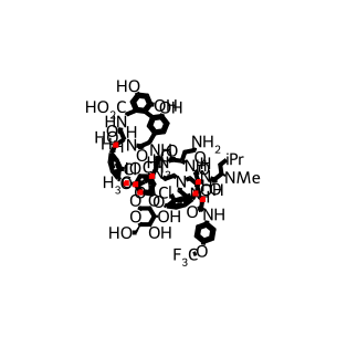 CN[C@H](CC(C)C)C(=O)N[C@H]1C(=O)NC(CC(N)=O)C(=O)NC2C(=O)NC3C(=O)N[C@H](C(=O)N[C@@H](C(=O)O)c4cc(O)cc(O)c4-c4cc3ccc4O)[C@H](O)c3ccc(c(Cl)c3)Oc3cc2cc(c3O[C@@H]2O[C@H](CO)[C@@H](O)[C@H](O)[C@H]2O[C@H]2C[C@](C)(NCCN3CCN(CC(=O)Nc4ccc(OC(F)(F)F)cc4)CC3)[C@H](O)[C@H](C)O2)Oc2ccc(cc2Cl)[C@H]1O